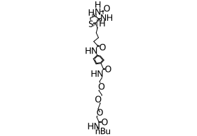 CCCCNC(=O)COCCOCCOCCNC(=O)c1ccc(NC(=O)CCCC[C@H]2SC[C@H]3NC(=O)N[C@H]32)cc1